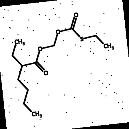 CCCCC(CC)C(=O)OCOC(=O)SCC